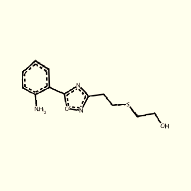 Nc1ccccc1-c1nc(CCSCCO)no1